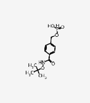 CC(C)(C)ONC(=O)c1ccc(CO[PH](=O)O)cc1